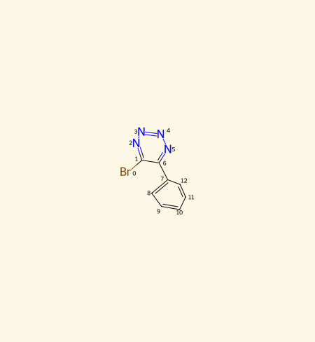 Brc1nnnnc1-c1ccccc1